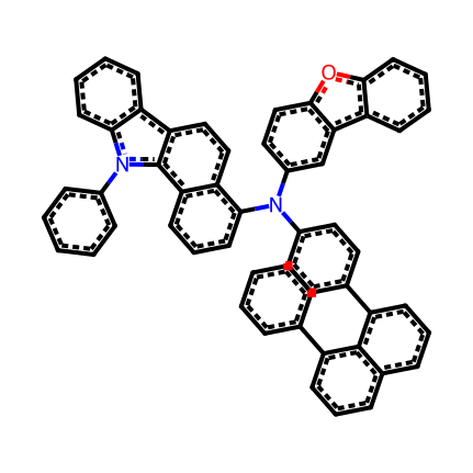 c1ccc(-c2cccc3cccc(-c4ccc(N(c5ccc6oc7ccccc7c6c5)c5cccc6c5ccc5c7ccccc7n(-c7ccccc7)c65)cc4)c23)cc1